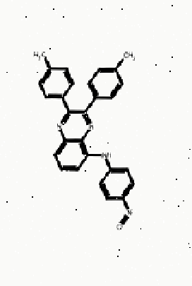 Cc1ccc(-c2nc3cccc(Nc4ccc(N=O)cc4)c3nc2-c2ccc(C)cc2)cc1